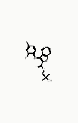 CC(C)(O)COC(=O)c1oc2ccncc2c1Nc1ccc(I)cc1F